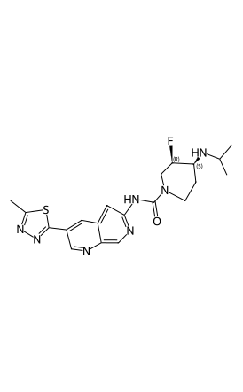 Cc1nnc(-c2cnc3cnc(NC(=O)N4CC[C@H](NC(C)C)[C@H](F)C4)cc3c2)s1